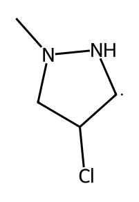 CN1CC(Cl)[CH]N1